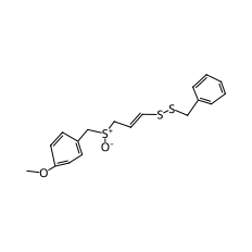 COc1ccc(C[S+]([O-])C/C=C/SSCc2ccccc2)cc1